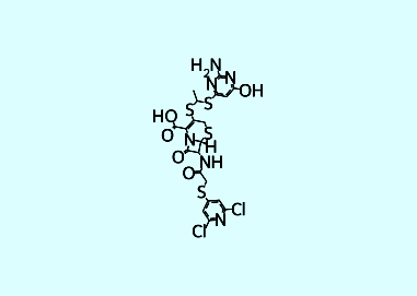 CC(SC1=C(C(=O)O)N2C(=O)[C@@H](NC(=O)CSc3cc(Cl)nc(Cl)c3)[C@H]2SC1)Sc1cc(O)nc(N)n1